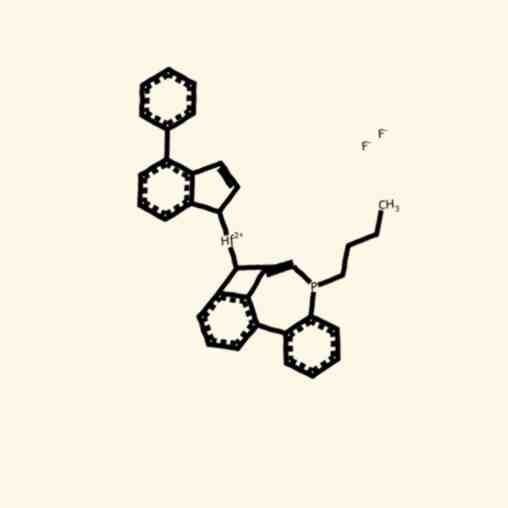 CCCCP1C2=Cc3c(cccc3[CH]2[Hf+2][CH]2C=Cc3c(-c4ccccc4)cccc32)-c2ccccc21.[F-].[F-]